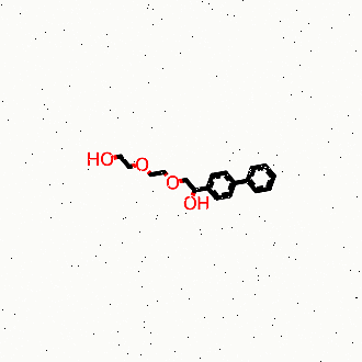 OCCOCCOCC(O)c1ccc(-c2ccccc2)cc1